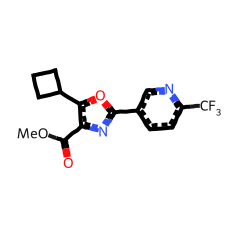 COC(=O)c1nc(-c2ccc(C(F)(F)F)nc2)oc1C1CCC1